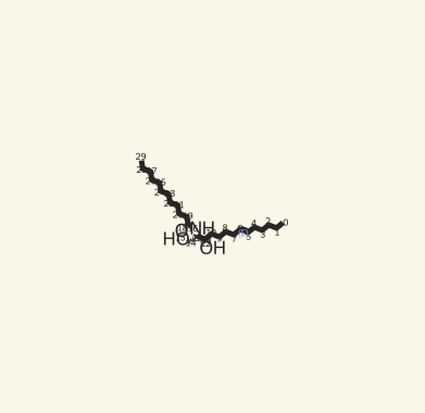 CCCCC/C=C/CCCC[C@@H](O)[C@H](CO)NC(=O)CCCCCCCCCCC